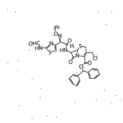 CC(C)O/N=C(/C(=O)NC1C(=O)N2C(C(=O)OC(c3ccccc3)c3ccccc3)=C(CCl)CS[C@H]12)c1csc(NC=O)n1